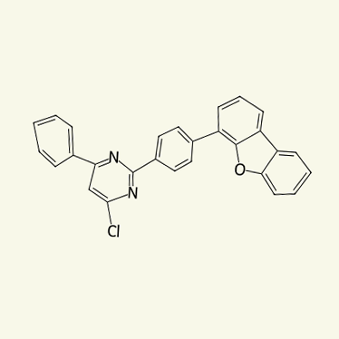 Clc1cc(-c2ccccc2)nc(-c2ccc(-c3cccc4c3oc3ccccc34)cc2)n1